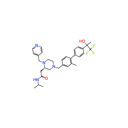 Cc1cc(CN2CCN(Cc3ccncc3)[C@H](CC(=O)NC(C)C)C2)ccc1-c1ccc(C(C)(O)C(F)(F)F)cc1